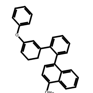 COc1ccc(-c2ccccc2C2=CC(Oc3ccccc3)=CC[CH]2)c2ccccc12